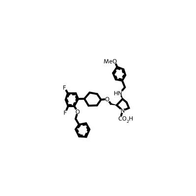 COc1ccc(CN[C@H]2CCN(C(=O)O)[C@H]2COC2CCC(c3cc(F)cc(F)c3OCc3ccccc3)CC2)cc1